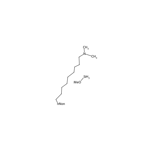 CCCCCCCCCCCCCCCCCCN(C)C.CO[SiH3]